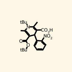 CC1=C(C(=O)O)C(c2ccccc2[N+](=O)[O-])C(C(=O)OC(C)(C)C)=C(C)N1C(C)(C)C